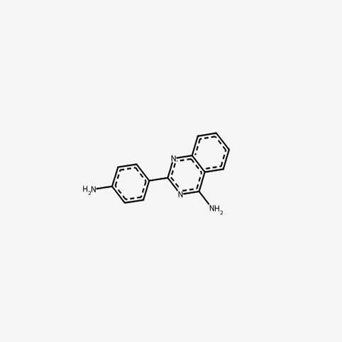 Nc1ccc(-c2nc(N)c3ccccc3n2)cc1